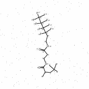 CC(CC(C)(C)C)C(=O)OCCC(=O)OCCC(F)(F)C(F)(F)C(F)(F)C(F)(F)F